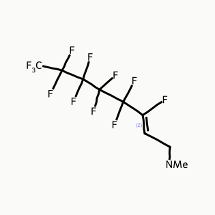 CNC/C=C(\F)C(F)(F)C(F)(F)C(F)(F)C(F)(F)C(F)(F)F